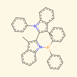 Cc1c(-c2c(C)c3ccccc3n2P(c2ccccc2)c2ccccc2)n(-c2ccccc2)c2ccccc12